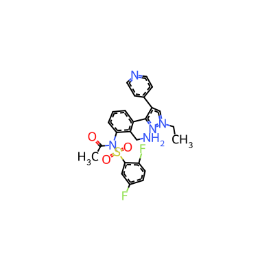 CCn1cc(-c2ccncc2)c(-c2cccc(N(C(C)=O)S(=O)(=O)c3cc(F)ccc3F)c2CN)n1